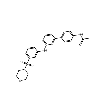 CC(=O)Nc1ccc(-c2ccnc(Nc3cccc(S(=O)(=O)N4CCOCC4)c3)n2)cc1